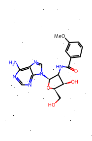 COc1cccc(C(=O)NC2[C@@H](O)[C@@H](CO)O[C@H]2n2cnc3c(N)ncnc32)c1